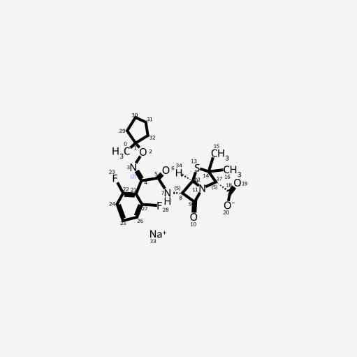 CC1(O/N=C(\C(=O)N[C@H]2C(=O)N3[C@@H]2SC(C)(C)[C@@H]3C(=O)[O-])c2c(F)cccc2F)CCCC1.[Na+]